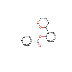 O=C(Oc1ccccc1C1CCCOO1)c1ccccc1